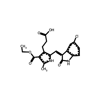 CCOC(=O)c1c(C)[nH]c(/C=C2\C(=O)Nc3ccc(Cl)cc32)c1CCC(=O)O